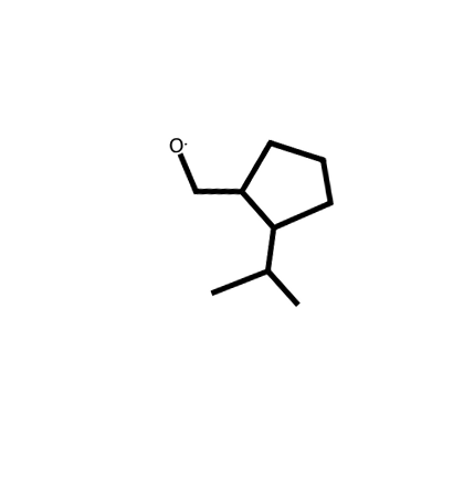 CC(C)C1CCCC1C[O]